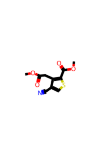 COC(=O)Cc1c(C#N)csc1C(=O)OC